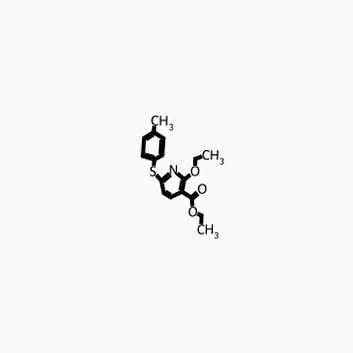 CCOC(=O)c1ccc(Sc2ccc(C)cc2)nc1OCC